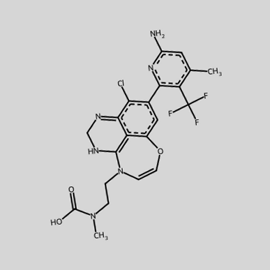 Cc1cc(N)nc(-c2cc3c4c(c2Cl)=NCNC=4N(CCN(C)C(=O)O)C=CO3)c1C(F)(F)F